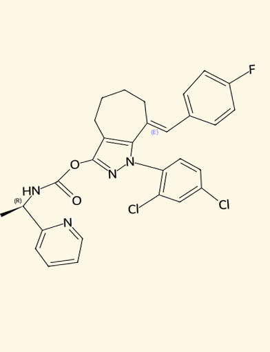 C[C@@H](NC(=O)Oc1nn(-c2ccc(Cl)cc2Cl)c2c1CCCC/C2=C\c1ccc(F)cc1)c1ccccn1